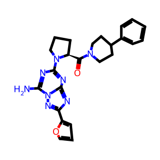 Nc1nc(N2CCC[C@H]2C(=O)N2CCC(c3ccccc3)CC2)nc2nc(-c3ccco3)nn12